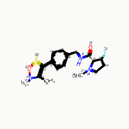 CC1=C(c2ccc(CNC(=O)[C@@H]3C(F)CCN3C=O)cc2)SON1C